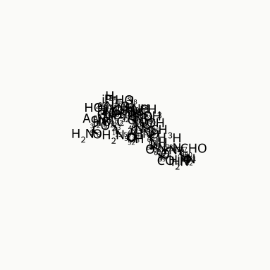 CC(=O)[C@H](CCC(N)=O)NC(=O)[C@H](CCCCN)NC(=O)[C@H](CO)NC(=O)[C@H](CC(C)C)NC(=O)[C@H](CC(=O)O)NC(=O)[C@H](CO)NC(=O)[C@@H](NC(=O)[C@H](Cc1ccccc1)NC(=O)[C@@H](NC(=O)CNC(=O)[C@H](CCC(=O)O)NC(=O)CNN[C@H](C=O)Cc1cnc[nH]1)[C@@H](C)O)[C@@H](C)O